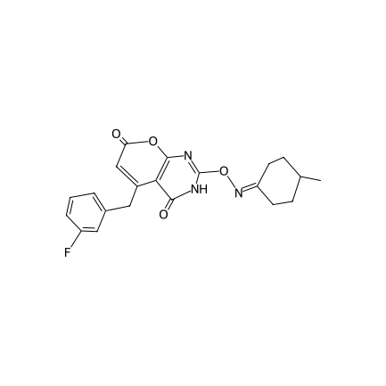 CC1CCC(=NOc2nc3oc(=O)cc(Cc4cccc(F)c4)c3c(=O)[nH]2)CC1